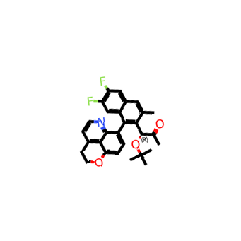 CC(=O)[C@H](OC(C)(C)C)c1c(C)cc2cc(F)c(F)cc2c1-c1ccc2c3c(ccnc13)CCO2